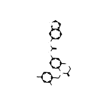 O=C(Nc1ccc2c(c1)OCC(=O)N2Cc1ccc(F)cc1Cl)Nc1ccc2cc[nH]c2c1